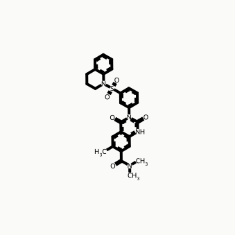 Cc1cc2c(=O)n(-c3cccc(S(=O)(=O)N4CCCc5ccccc54)c3)c(=O)[nH]c2cc1C(=O)N(C)C